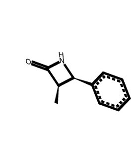 C[C@H]1C(=O)N[C@H]1c1ccccc1